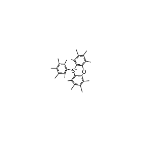 Cc1c(C)c(C)c([S+]2c3c(C)c(C)c(C)c(C)c3Oc3c(C)c(C)c(C)c(C)c32)c(C)c1C